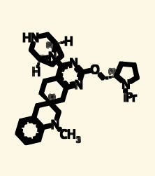 CC(C)N1CCC[C@H]1COc1nc2c(c(N3[C@@H]4CC[C@H]3CNC4)n1)CC[C@@]1(Cc3ccccc3N(C)C1)C2